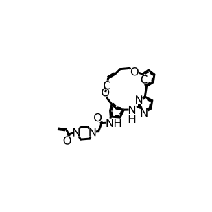 C=CC(=O)N1CCN(CC(=O)Nc2cc3cc(c2)Nc2nccc(n2)-c2cccc(c2)OCC/C=C/COC3)CC1